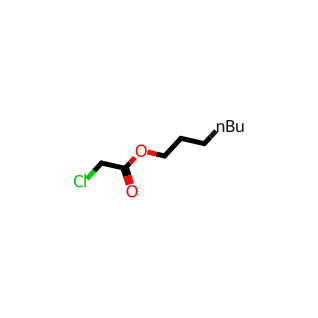 CCCCCCCOC(=O)CCl